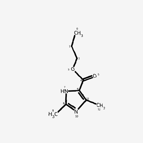 CCCOC(=O)c1[nH]c(C)nc1C